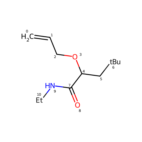 C=CCOC(CC(C)(C)C)C(=O)NCC